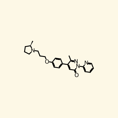 Cc1nn(-c2ccccn2)c(=O)cc1-c1ccc(OCCCN2CCC[C@H]2C)cc1